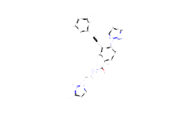 Cc1ccn(CCNC(=O)c2ccc(-n3cccn3)c(C#Cc3ccccc3)c2)n1